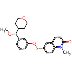 COC(c1cccc(OSc2ccc3c(ccc(=O)n3C)c2)c1)C1CCOCC1